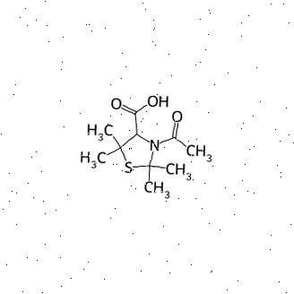 CC(=O)N1C(C(=O)O)C(C)(C)SC1(C)C